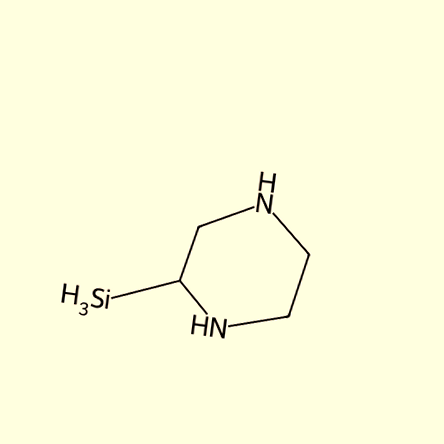 [SiH3]C1CNCCN1